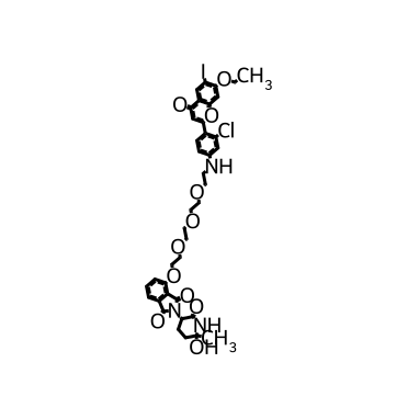 CCOc1cc2oc(-c3ccc(NCCOCCOCCOCCOc4cccc5c4C(=O)N(C4CCC(C)(O)NC4=O)C5=O)cc3Cl)cc(=O)c2cc1I